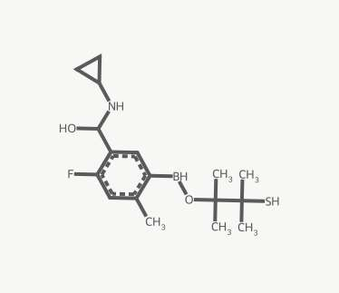 Cc1cc(F)c(C(O)NC2CC2)cc1BOC(C)(C)C(C)(C)S